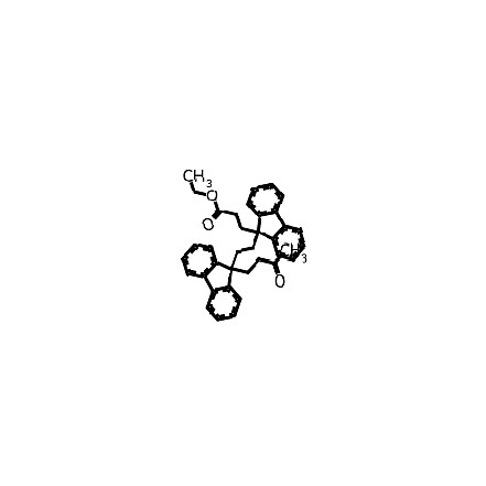 CCOC(=O)CCC1(CCC2(CCC(C)=O)c3ccccc3-c3ccccc32)c2ccccc2-c2ccccc21